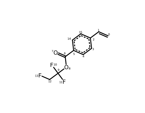 C=Cc1ccc(C(=O)OC(F)(F)CF)cc1